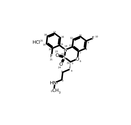 CNCCC[C@H]1Oc2cc(F)ccc2N(c2ccccc2F)S1(=O)=O.Cl